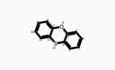 [c]1ccc2c(c1)Oc1ccccc1S2